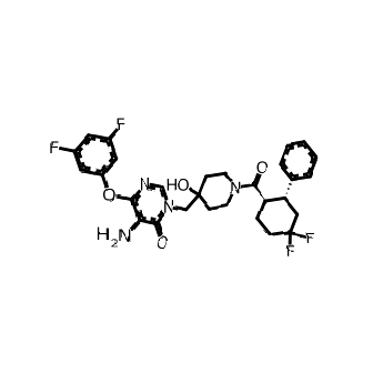 Nc1c(Oc2cc(F)cc(F)c2)ncn(CC2(O)CCN(C(=O)[C@@H]3CCC(F)(F)C[C@H]3c3ccccc3)CC2)c1=O